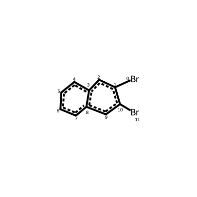 Brc1cc2c[c]ccc2cc1Br